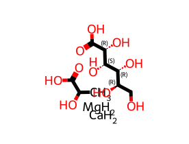 CC(O)C(=O)O.O=C(O)[C@H](O)[C@@H](O)[C@H](O)[C@H](O)CO.[CaH2].[MgH2]